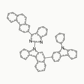 c1ccc(-n2c3ccccc3c3ccc(-c4cc5c(c6ccccc46)c4ccccc4n5-c4nc(-c5ccc6c(ccc7ccccc76)c5)c5ccccc5n4)cc32)cc1